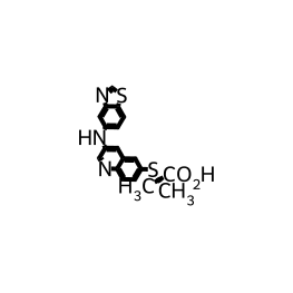 CC(C)(Sc1ccc2ncc(Nc3ccc4scnc4c3)cc2c1)C(=O)O